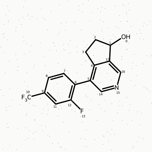 OC1CCc2c(-c3ccc(C(F)(F)F)cc3F)cncc21